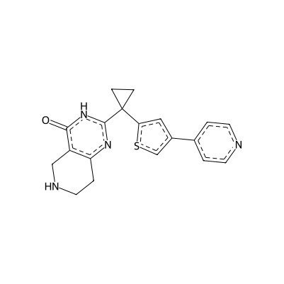 O=c1[nH]c(C2(c3cc(-c4ccncc4)cs3)CC2)nc2c1CNCC2